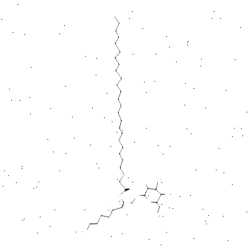 CCCCCCCCCCCCCC[C@@H](O)[C@@H](O)[C@H](COC1OC(CO)C(O)C(O)C1O)NC(=O)CCCCCCCCCCCCCCCCCCCCCCCCI